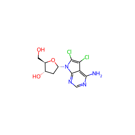 Nc1ncnc2c1c(Cl)c(Cl)n2[C@@H]1C[C@H](O)[C@@H](CO)O1